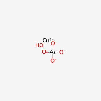 O=[As]([O-])([O-])[O-].[Cu+4].[OH-]